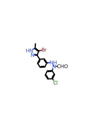 Cc1[nH]nc(-c2cccc(NN(C=O)c3cccc(Cl)c3)c2)c1Br